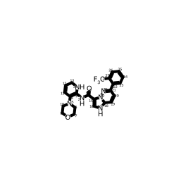 O=C(NC1=C(N2CCOCC2)C=CCN1)C1=CNC2C=CC(c3ccccc3C(F)(F)F)=NN12